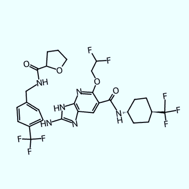 O=C(N[C@H]1CC[C@H](C(F)(F)F)CC1)c1cc2nc(Nc3cc(CNC(=O)C4CCCO4)ccc3C(F)(F)F)[nH]c2nc1OCC(F)F